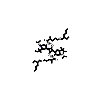 CCCCC(CC)CSCCCC(C)C(=O)NC1=CC(=N\C(C)C)/C(C(C)(C)CC)=CC/1=C1\C(=O)C(c2cc3c(cc2NC(=O)C(C)CCCSCC(CC)CCCC)N(C(C)C)C(C)C3(C)C)=C1OC